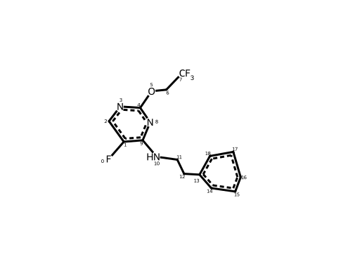 Fc1cnc(OCC(F)(F)F)nc1NCCc1ccccc1